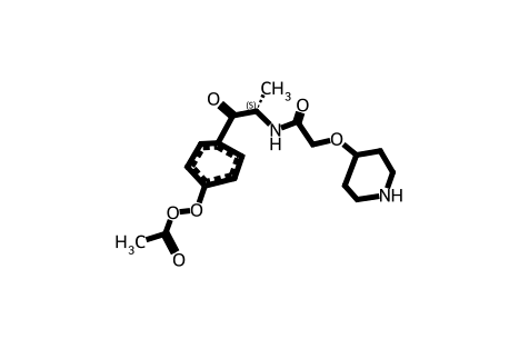 CC(=O)OOc1ccc(C(=O)[C@H](C)NC(=O)COC2CCNCC2)cc1